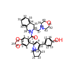 O=C(c1cc2c(cc1-c1cc(-c3ccc(O)cc3)c3n1CCCC3)OCO2)N1Cc2ccccc2C[C@H]1CN1CCOCC1